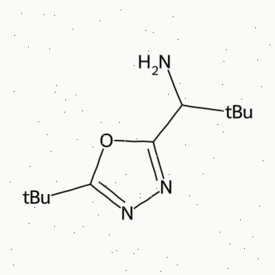 CC(C)(C)c1nnc(C(N)C(C)(C)C)o1